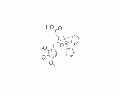 COc1ccc(CC(CCC(=O)O)O[Si](c2ccccc2)(c2ccccc2)C(C)(C)C)c(OC)c1OC